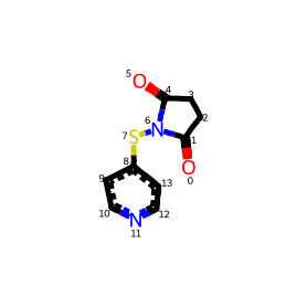 O=C1CCC(=O)N1Sc1ccncc1